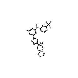 Cc1cc(Nc2nccc(C(F)(F)F)n2)cc(-n2cc(C3(O)CCC4(CC3)OCCO4)nn2)c1